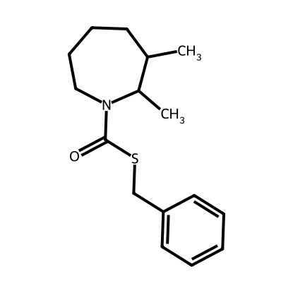 CC1CCCCN(C(=O)SCc2ccccc2)C1C